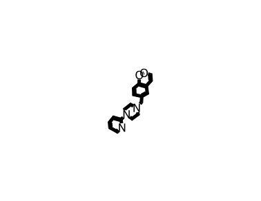 C1=Cc2cc(CN3CCN(c4ccccn4)CC3)ccc2OO1